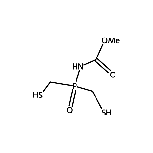 COC(=O)NP(=O)(CS)CS